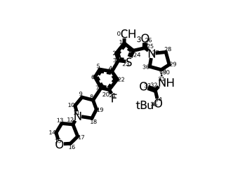 Cc1cc(-c2ccc(C3CCN(C4CCOCC4)CC3)c(F)c2)sc1C(=O)N1CC[C@H](NC(=O)OC(C)(C)C)C1